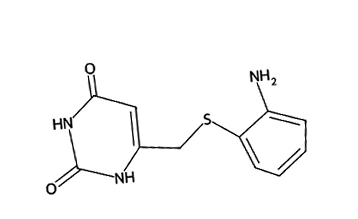 Nc1ccccc1SCc1cc(=O)[nH]c(=O)[nH]1